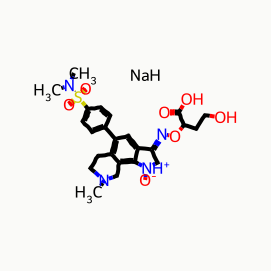 CN1CCc2c(-c3ccc(S(=O)(=O)N(C)C)cc3)cc3c(c2C1)[NH+]([O-])CC3=NOC(CCO)C(=O)O.[NaH]